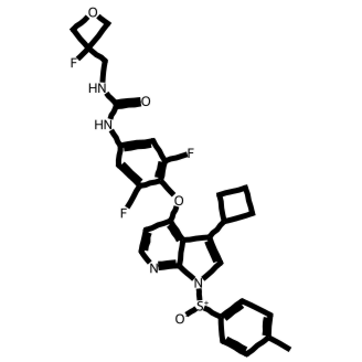 Cc1ccc([S+]([O-])n2cc(C3CCC3)c3c(Oc4c(F)cc(NC(=O)NCC5(F)COC5)cc4F)ccnc32)cc1